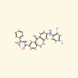 O=C(NC1(c2ccccc2)CC1)c1ccc2c(c1)C(=O)c1ccc(Nc3ccc(F)cc3F)cc1CC2